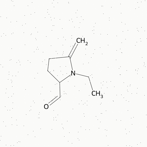 C=C1CCC(C=O)N1CC